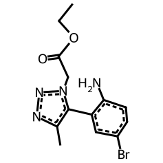 CCOC(=O)Cn1nnc(C)c1-c1cc(Br)ccc1N